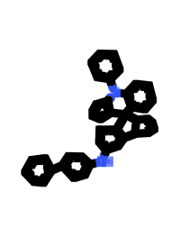 C1=CC2c3cc(Nc4ccc(-c5ccccc5)cc4)ccc3C3(c4ccccc4N(c4ccccc4)c4ccccc43)C2C=C1